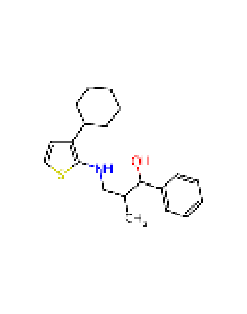 CC(CNc1sccc1C1CCCCC1)C(O)c1ccccc1